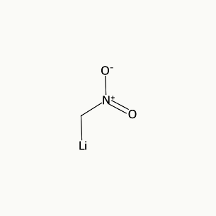 [Li][CH2][N+](=O)[O-]